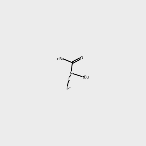 [CH2]CCCC(=O)N(CC(C)C)C(C)(C)C